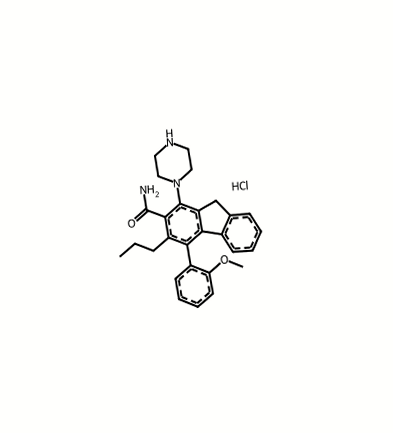 CCCc1c(C(N)=O)c(N2CCNCC2)c2c(c1-c1ccccc1OC)-c1ccccc1C2.Cl